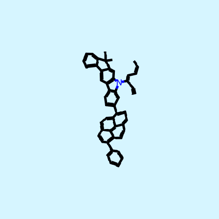 C#C/C(=C\C=C/C)n1c2cc(-c3ccc4ccc5c(-c6ccccc6)ccc6ccc3c4c65)ccc2c2cc3c(cc21)C(C)(C)c1ccccc1-3